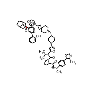 Cc1ncsc1-c1ccc([C@H](C)NC(=O)C2CCCN2C(=O)C(c2cc(N3CCC(CN4CCC5(CC4)CC(N4CCO[C@@H](C(=O)N6C7CCC6CN(c6cc(-c8ccccc8O)nnc6N)C7)C4)C5)CC3)no2)C(C)C)cc1